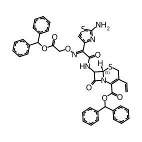 C=CC1=C(C(=O)OC(c2ccccc2)c2ccccc2)N2C(=O)C(NC(=O)C(=NOCC(=O)OC(c3ccccc3)c3ccccc3)c3csc(N)n3)[C@@H]2SC1